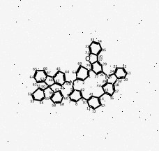 c1ccc(N(c2cccc(-c3cccc(-c4ccc5c6ccccc6n(-c6ccc7oc8ccccc8c7c6)c5c4)c3)c2)c2ccc3c(c2)C(c2ccccc2)(c2ccccc2)c2ccccc2-3)cc1